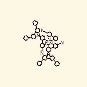 N#Cc1ccc(-c2ccccc2-c2nc(-c3ccc(-n4c5ccc(-c6ccccc6)cc5c5cc(-c6ccccc6)ccc54)cc3-c3ccc(C#N)cc3)nc(-c3ccc(-n4c5ccc(-c6ccccc6)cc5c5cc(-c6ccccc6)ccc54)cc3-c3ccc(C#N)cc3)n2)cc1